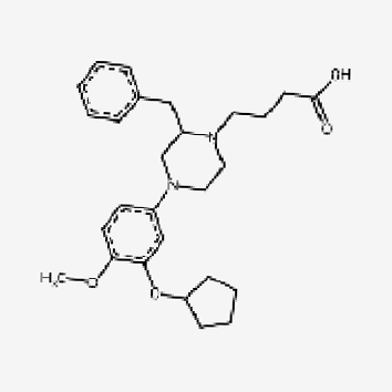 COc1ccc(N2CCN(CCCC(=O)O)C(Cc3ccccc3)C2)cc1OC1CCCC1